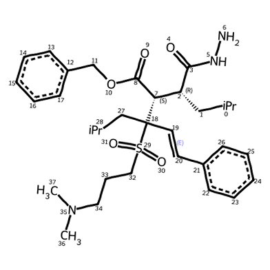 CC(C)C[C@@H](C(=O)NN)[C@@H](C(=O)OCc1ccccc1)C(/C=C/c1ccccc1)(CC(C)C)S(=O)(=O)CCCN(C)C